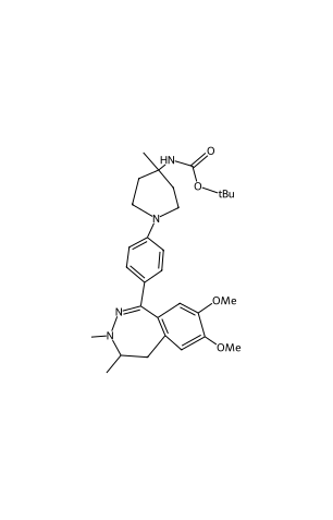 COc1cc2c(cc1OC)C(c1ccc(N3CCC(C)(NC(=O)OC(C)(C)C)CC3)cc1)=NN(C)C(C)C2